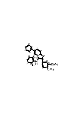 COc1ccc(-c2nc3ccc(-c4ccccc4)cn3c2Nc2c(C)cccc2C)cc1OC